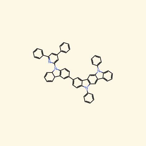 C1=CC2c3cc(-c4ccc5c(c4)c4cc6c(cc4n5-c4ccccc4)c4ccccc4n6-c4ccccc4)ccc3N(c3cc(-c4ccccc4)cc(-c4ccccc4)n3)C2C=C1